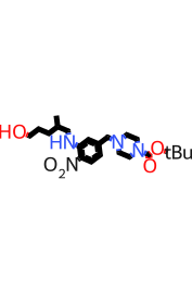 CC(CCCO)CNc1cc(CN2CCN(C(=O)OC(C)(C)C)CC2)ccc1[N+](=O)[O-]